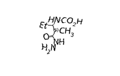 CCC(NC(=O)O)[C@H](C)C(=O)NN